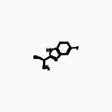 CC(C)(C)[C@H](N)c1nc2cc(F)ccc2[nH]1